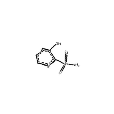 NS(=O)(=O)c1ncccc1S